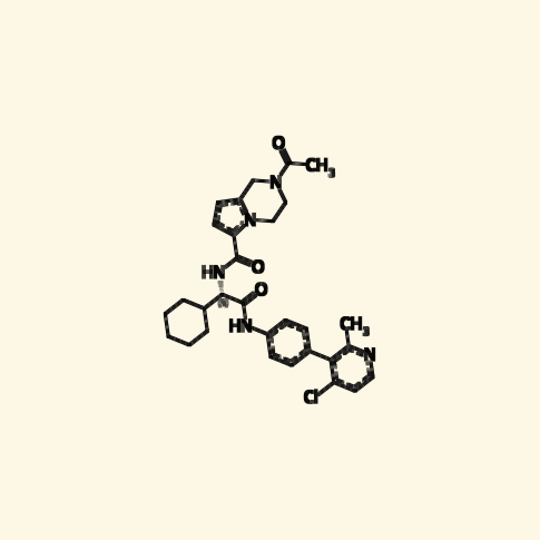 CC(=O)N1CCn2c(ccc2C(=O)N[C@H](C(=O)Nc2ccc(-c3c(Cl)ccnc3C)cc2)C2CCCCC2)C1